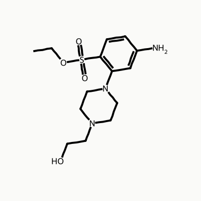 CCOS(=O)(=O)c1ccc(N)cc1N1CCN(CCO)CC1